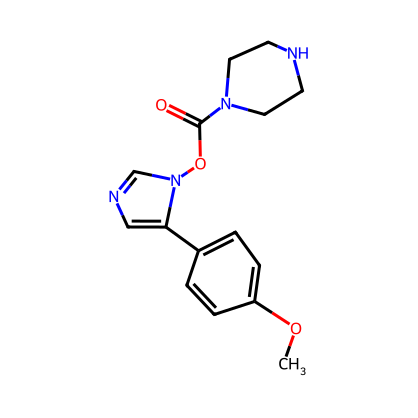 COc1ccc(-c2cncn2OC(=O)N2CCNCC2)cc1